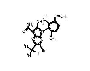 [2H]C([2H])([2H])c1nc2c(C(N)=O)c(N)n(-c3c(C)ccc(OC)c3C)c2nc1Br